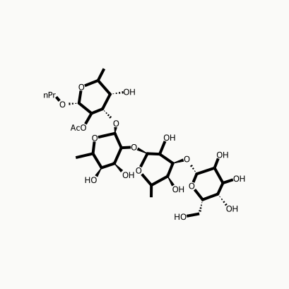 CCCO[C@@H]1OC(C)[C@H](O)[C@H](O[C@@H]2OC(C)[C@H](O)[C@H](O)C2O[C@@H]2OC(C)[C@H](O)[C@H](O[C@H]3O[C@@H](CO)[C@@H](O)C(O)C3O)C2O)C1OC(C)=O